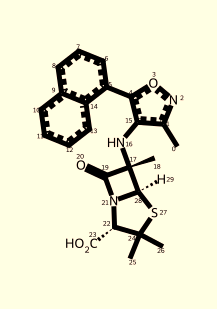 Cc1noc(-c2cccc3ccccc23)c1N[C@@]1(C)C(=O)N2[C@@H](C(=O)O)C(C)(C)S[C@@H]21